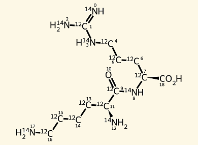 [14NH]=[12C]([14NH2])[14NH][12CH2][12CH2][12CH2][12C@H]([14NH][12C](=O)[12C@@H]([14NH2])[12CH2][12CH2][12CH2][12CH2][14NH2])[12C](=O)O